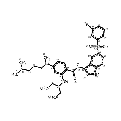 COCC(COC)Nc1cc(N(C)CCCN(C)C)ccc1C(=O)Nc1n[nH]c2ccc(S(=O)(=O)c3cccc(F)c3)cc12